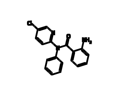 Nc1ccccc1C(=O)N(c1ccccc1)c1ccc(Cl)cn1